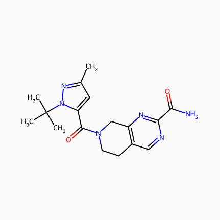 Cc1cc(C(=O)N2CCc3[c]nc(C(N)=O)nc3C2)n(C(C)(C)C)n1